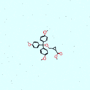 COC(=O)C1CC1COC(c1ccc(OC)cc1)(c1ccc(OC)cc1)c1ccc(OC)cc1